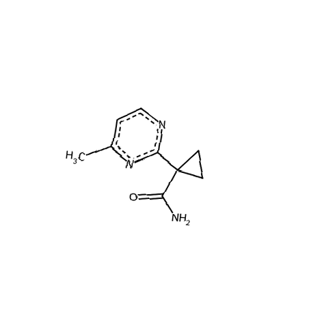 Cc1ccnc(C2(C(N)=O)CC2)n1